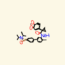 Cc1ccc(-c2ccc([S+]([O-])N(C(C)C)C(C)C)cc2)cc1NC(=O)C1(c2ccc3c(c2)OCO3)CC1